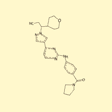 N#CCC(C1CCOCC1)n1cc(-c2ccnc(Nc3ccc(C(=O)N4CCCC4)cc3)n2)cn1